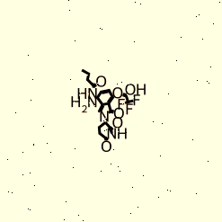 CCCC(=O)NC1(N)C=CC=C2C(=O)N(C3CCC(=O)NC3=O)C=C21.O=C(O)C(F)(F)F